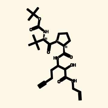 C#CCCC(NC(=O)[C@@H]1CCCN1C(=O)[C@@H](NC(=O)OC(C)(C)C)C(C)(C)C)C(O)C(=O)NCC=C